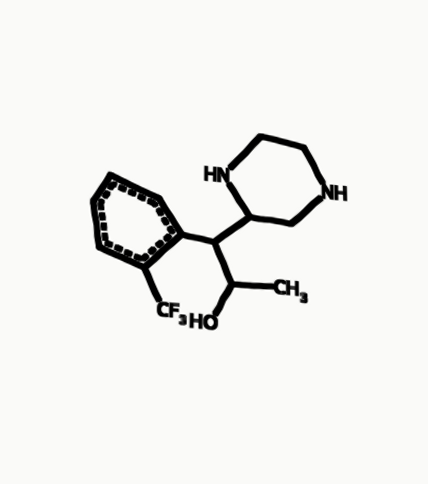 CC(O)C(c1ccccc1C(F)(F)F)C1CNCCN1